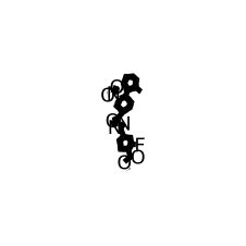 COC(=O)c1ccc(-c2noc(-c3ccc(-c4ccccc4C)c([N+](=O)[O-])c3)n2)cc1F